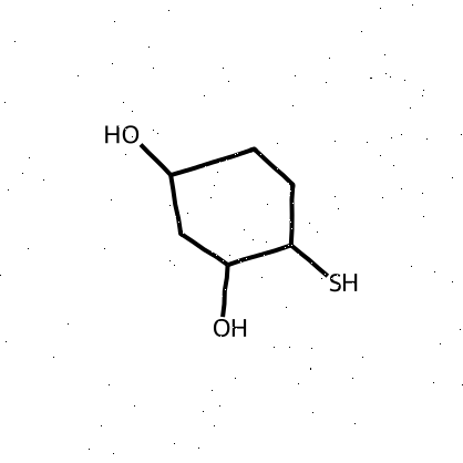 OC1CCC(S)C(O)C1